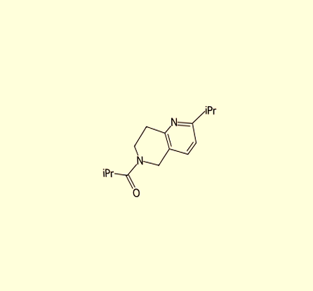 CC(C)C(=O)N1CCc2nc(C(C)C)ccc2C1